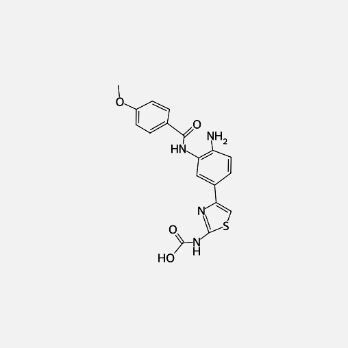 COc1ccc(C(=O)Nc2cc(-c3csc(NC(=O)O)n3)ccc2N)cc1